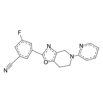 N#Cc1cc(F)cc(-c2nc3c(o2)CCN(c2ccccn2)C3)c1